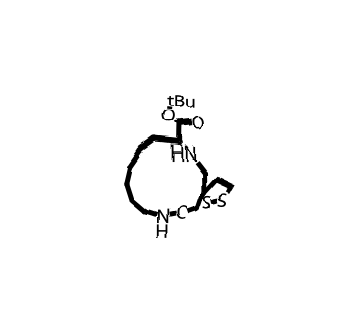 CC(C)(C)OC(=O)C1CCCCCCNCCC2(CCSS2)CN1